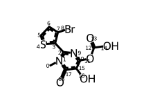 Cn1c(-c2sccc2Br)nc(OC(=O)O)c(O)c1=O